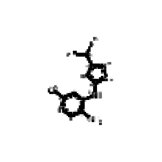 Nc1cnc(Cl)cc1Nc1cc(C(F)F)ns1